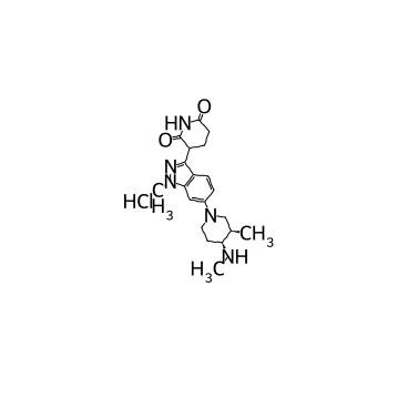 CN[C@H]1CCN(c2ccc3c(C4CCC(=O)NC4=O)nn(C)c3c2)C[C@H]1C.Cl